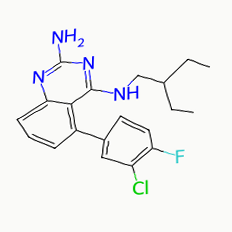 CCC(CC)CNc1nc(N)nc2cccc(-c3ccc(F)c(Cl)c3)c12